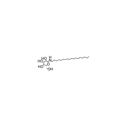 CCCCCCCCCCCCCCCCCCNC1O[C@H](CO)[C@@H](O)[C@H](O)[C@H]1O